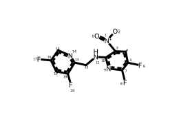 O=[N+]([O-])c1cc(F)c(F)nc1NCc1ncc(F)cc1F